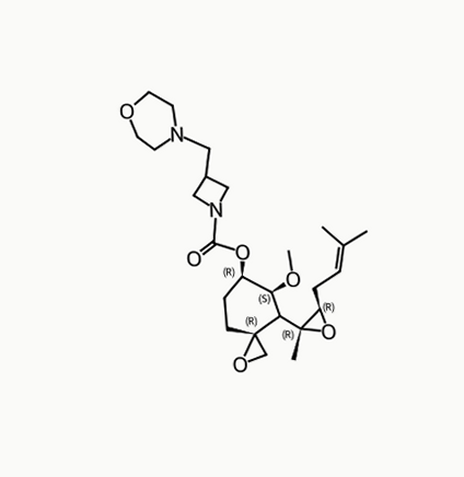 CO[C@H]1C([C@@]2(C)O[C@@H]2CC=C(C)C)[C@]2(CC[C@H]1OC(=O)N1CC(CN3CCOCC3)C1)CO2